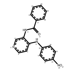 O=C(Nc1cnccc1Nc1ccc([N+](=O)[O-])cc1)c1ccccc1